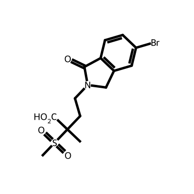 CC(CCN1Cc2cc(Br)ccc2C1=O)(C(=O)O)S(C)(=O)=O